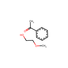 CC(=O)c1ccccc1.COCCO